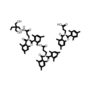 CCC(CO)(CO)CO.Cc1cc(C)c(C(=O)P(CCC(=O)O)C(=O)c2c(C)cc(C)cc2C)c(C)c1.Cc1cc(C)c(C(=O)P(CCC(=O)O)C(=O)c2c(C)cc(C)cc2C)c(C)c1.Cc1cc(C)c(C(=O)P(CCC(=O)O)C(=O)c2c(C)cc(C)cc2C)c(C)c1